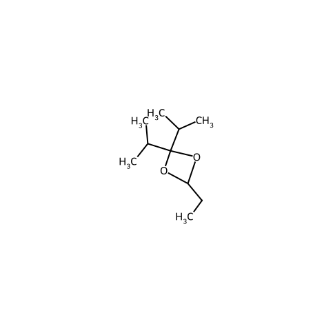 CCC1OC(C(C)C)(C(C)C)O1